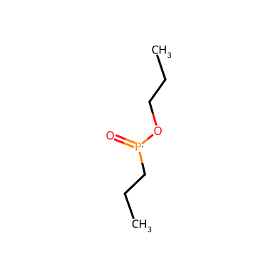 CCCO[P](=O)CCC